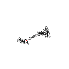 Cc1cc(S(=O)(=O)NCCOCCOCCOCCOCCCc2ccc3c(c2)n(C)c(=O)n3C2CCC(=O)NC2=O)ccc1Nc1ncc2ccc(=O)n(C3CCCC3)c2n1